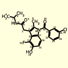 Cc1c(CC(=O)NC(C)C)c2c(F)c(O)ccc2n1C(=O)c1cccc(Cl)c1